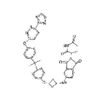 CC(C)(c1ccc(Oc2ccc(-n3nccn3)nn2)cc1)c1ccc(O[C@H]2C[C@H](Nc3ccc4c(c3)C(=O)N(C3CCC(=O)NC3=O)C4=O)C2)cc1